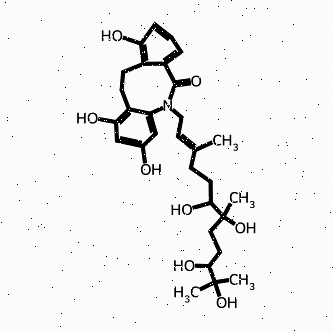 C/C(=C\CN1C(=O)c2cccc(O)c2CCc2c(O)cc(O)cc21)CCC(O)C(C)(O)CCC(O)C(C)(C)O